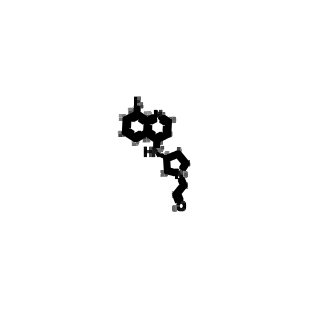 O=[C]CN1CC[C@@H](Nc2ccnc3c(F)cccc23)C1